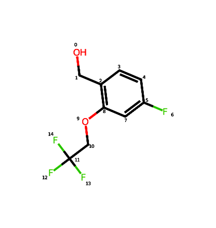 OCc1ccc(F)cc1OCC(F)(F)F